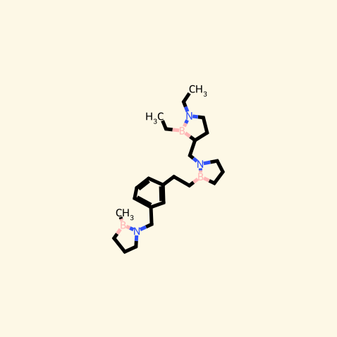 CCB1C(CN2CCCB2CCc2cccc(CN3CCCB3C)c2)CCN1CC